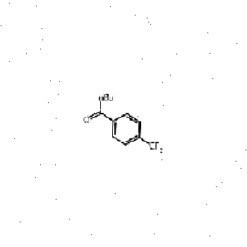 CCCCC(=O)c1ccc(C(F)(F)F)cc1